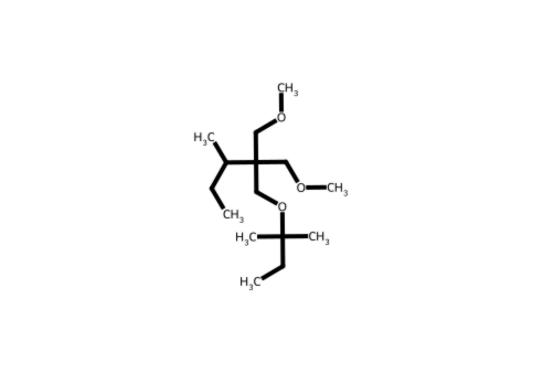 CCC(C)C(COC)(COC)COC(C)(C)CC